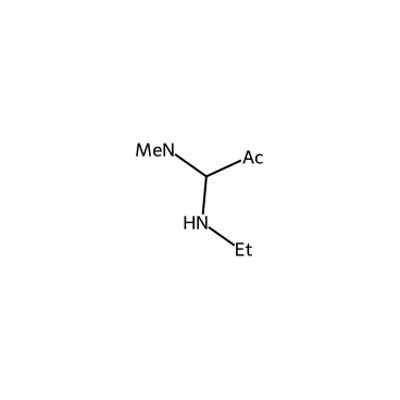 [CH2]CNC(NC)C(C)=O